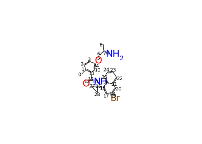 Cc1ccc(OC[C@@H](C)N)cc1C(=O)NC1(c2cc(Br)cc3ccccc23)CC1